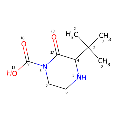 CC(C)(C)C1NCCN(C(=O)O)C1=O